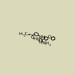 CC=CC(=O)[C@H]1CCCC(NC2NC=NC(N)=C2c2ccc(Oc3ccccc3)cc2)C1